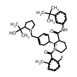 Cc1cccc(F)c1C(=O)N1CCCC(C(=O)Nc2cccc(C(C)(C)C)c2)[C@@H]1C1C=CC(CN2CCCC2C(C)(C)O)=CC1